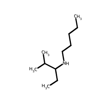 CCCCCNC(CC)C(C)C